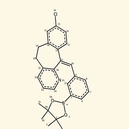 CC1(C)OB(c2cccc(/C=C3/c4ccc(Cl)cc4CCc4cccnc43)c2)OC1(C)C